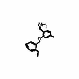 C=Cc1ccccc1COc1cc(C)ccc1CN